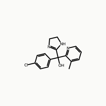 Cc1cccnc1C(O)(C1=NCCN1)c1ccc(Cl)cc1